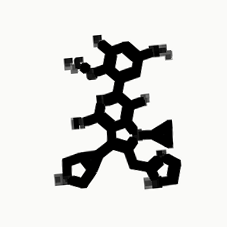 CC(C)c1nc(-c2cc(N)cc(F)c2OC(F)(F)F)c(F)c2c1c(C1C3CNCC31)c(Cc1ncc[nH]1)n2C1CC1